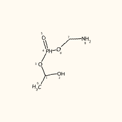 CC(O)O[PH](=O)OCN